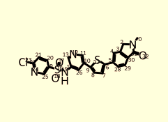 CN1Cc2cc(-c3ccc(-c4cncc(NS(=O)(=O)c5ccc(Cl)nc5)c4)s3)ccc2C1=O